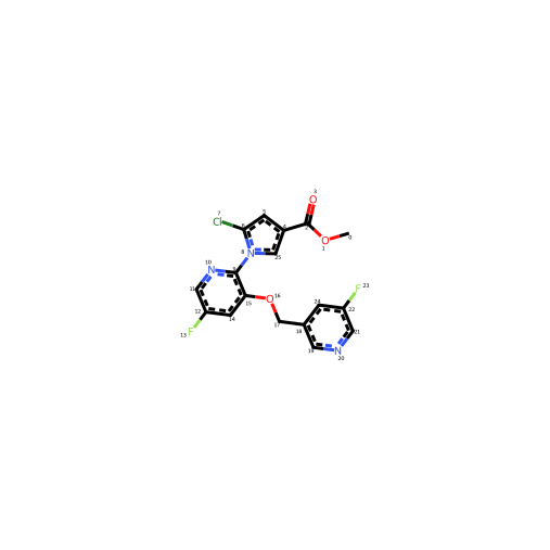 COC(=O)c1cc(Cl)n(-c2ncc(F)cc2OCc2cncc(F)c2)c1